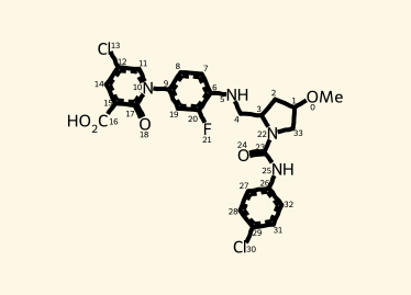 COC1CC(CNc2ccc(-n3cc(Cl)cc(C(=O)O)c3=O)cc2F)N(C(=O)Nc2ccc(Cl)cc2)C1